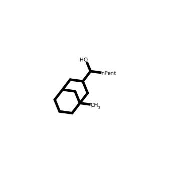 CCCCCC(O)C1CC2CCCC(C)(C2)C1